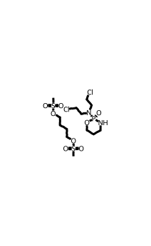 CS(=O)(=O)OCCCCOS(C)(=O)=O.O=P1(N(CCCl)CCCl)NCCCO1